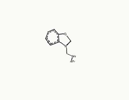 CCCNCN1COc2ccccc21